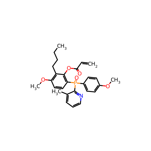 C=CC(=O)Oc1c(P(=O)(c2ccc(OC)cc2)c2ncccc2C)ccc(OC)c1CCCC